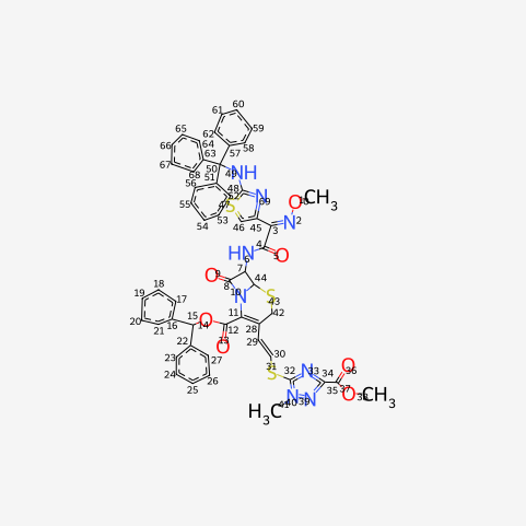 CO/N=C(/C(=O)NC1C(=O)N2C(C(=O)OC(c3ccccc3)c3ccccc3)=C(/C=C/Sc3nc(C(=O)OC)nn3C)CSC12)c1csc(NC(c2ccccc2)(c2ccccc2)c2ccccc2)n1